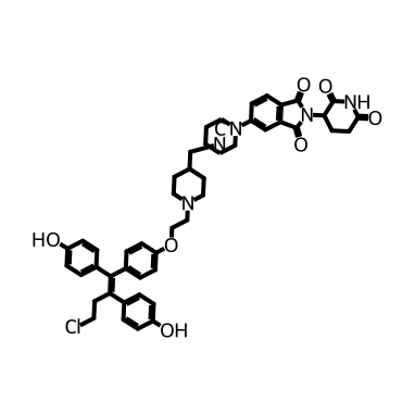 O=C1CCC(N2C(=O)c3ccc(N4CC5CCC4CN5CC4CCN(CCOc5ccc(C(=C(CCCl)c6ccc(O)cc6)c6ccc(O)cc6)cc5)CC4)cc3C2=O)C(=O)N1